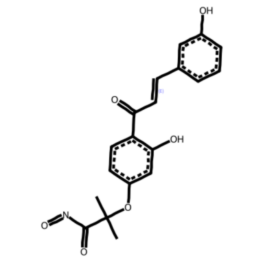 CC(C)(Oc1ccc(C(=O)/C=C/c2cccc(O)c2)c(O)c1)C(=O)N=O